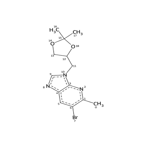 Cc1nc2c(cc1Br)ncn2CC1COC(C)(C)O1